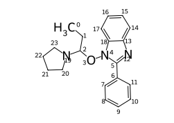 CCC(On1c(-c2ccccc2)nc2ccccc21)N1CCCC1